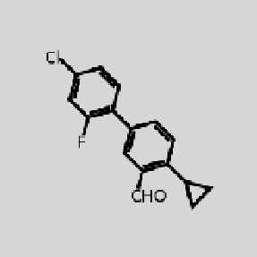 O=Cc1cc(-c2ccc(Cl)cc2F)ccc1C1CC1